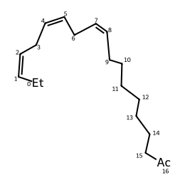 CC/C=C\C/C=C\C/C=C\CCCCCCCC(C)=O